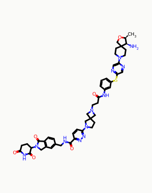 C[C@@H]1OCC2(CCN(c3cnc(Sc4cccc(NC(=O)CCN5CC6(CCN(c7ccc(C(=O)NCc8ccc9c(c8)CN(C8CCC(=O)NC8=O)C9=O)nn7)C6)C5)c4)cn3)CC2)[C@@H]1N